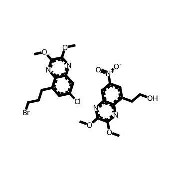 COc1nc2cc(Cl)cc(CCCBr)c2nc1OC.COc1nc2cc([N+](=O)[O-])cc(CCO)c2nc1OC